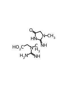 CN(CC(=O)O)C(=N)N.CN1CC(=O)NC1=N